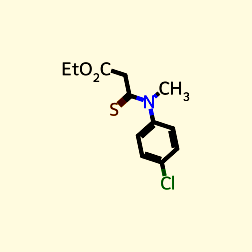 CCOC(=O)CC(=S)N(C)c1ccc(Cl)cc1